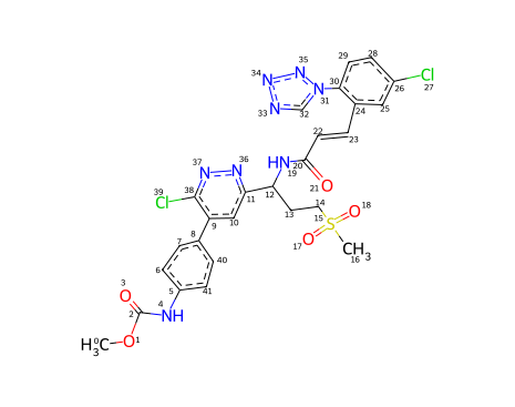 COC(=O)Nc1ccc(-c2cc(C(CCS(C)(=O)=O)NC(=O)C=Cc3cc(Cl)ccc3-n3cnnn3)nnc2Cl)cc1